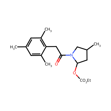 CCOC(=O)OC1CC(C)CN1C(=O)Cc1c(C)cc(C)cc1C